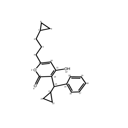 O=c1oc(CCCC2CC2)cc(O)c1C(c1ccccc1)C1CC1